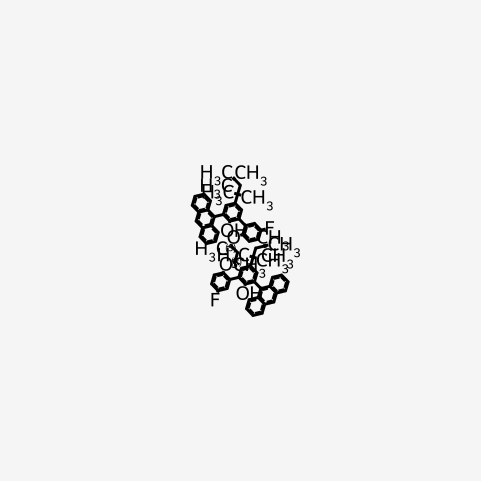 C[C@H](C[C@H](C)Oc1ccc(F)cc1-c1cc(C(C)(C)CC(C)(C)C)cc(-c2c3ccccc3cc3ccccc23)c1O)Oc1ccc(F)cc1-c1cc(C(C)(C)CC(C)(C)C)cc(-c2c3ccccc3cc3ccccc23)c1O